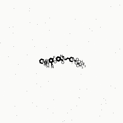 CC(C)(C)OC(=O)N1CCC(CCn2cnc3ccc(Oc4c(F)ccc(NS(=O)(=O)N5CCCCC5)c4C#N)cc3c2=O)CC1